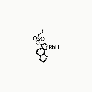 C=CCS(=O)(=O)Oc1cccc2c1ccc1ccccc12.[RbH]